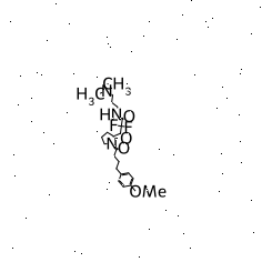 COc1ccc(CCCC(=O)N2CCCC2C(=O)C(F)(F)C(=O)NCCCN(C)C)cc1